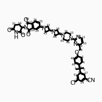 CC(C)(c1ccc(OCc2ccnc(N3CCN(C4CN(C5CN(c6ccc7c(c6)C(=O)N(C6CCC(=O)NC6=O)C7=O)C5)C4)CC3)n2)cc1)c1cc(Cl)cc(C#N)c1